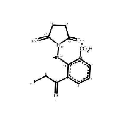 O=C(O)c1cccc(C(=O)CI)c1NN1C(=O)CCC1=O